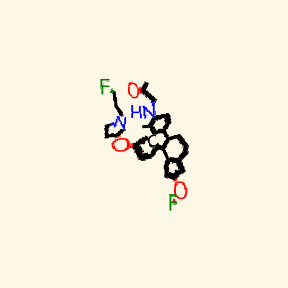 CC(=O)CNc1ccc(C2=C(c3ccc(OC4CCN(CCCF)C4)cc3)c3ccc(OF)cc3CCC2)cc1C